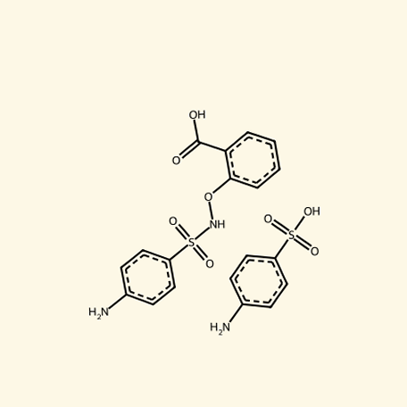 Nc1ccc(S(=O)(=O)NOc2ccccc2C(=O)O)cc1.Nc1ccc(S(=O)(=O)O)cc1